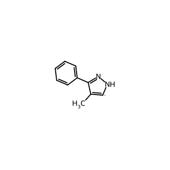 Cc1[c][nH]nc1-c1ccccc1